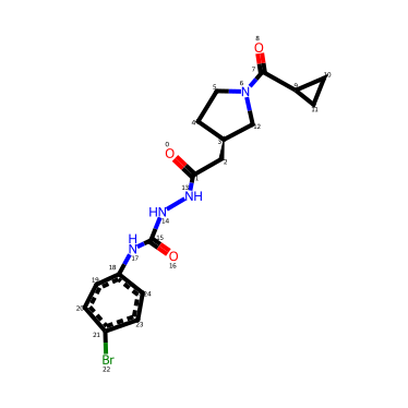 O=C(C[C@H]1CCN(C(=O)C2CC2)C1)NNC(=O)Nc1ccc(Br)cc1